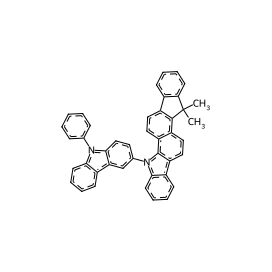 CC1(C)c2ccccc2-c2ccc3c(ccc4c5ccccc5n(-c5ccc6c(c5)c5ccccc5n6-c5ccccc5)c34)c21